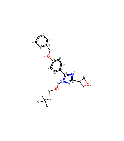 C[Si](C)(C)CCOCn1nc(C2COC2)nc1-c1ccc(OCc2ccccc2)cc1